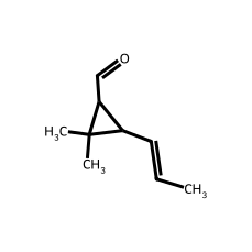 CC=CC1C(C=O)C1(C)C